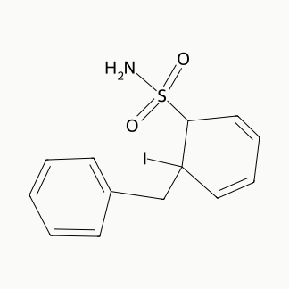 NS(=O)(=O)C1C=CC=CC1(I)Cc1ccccc1